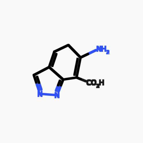 NC1=C(C(=O)O)C2=NN=CC2=CC1